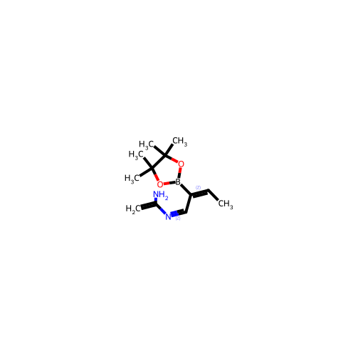 C=C(N)/N=C\C(=C/C)B1OC(C)(C)C(C)(C)O1